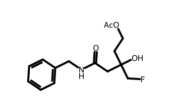 CC(=O)OCCC(O)(CF)CC(=O)NCc1ccccc1